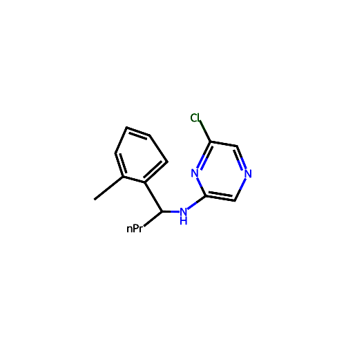 CCCC(Nc1cncc(Cl)n1)c1ccccc1C